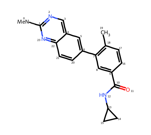 CNc1ncc2cc(-c3cc(C(=O)NC4CC4)ccc3C)ccc2n1